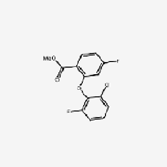 COC(=O)c1ccc(F)cc1Oc1c(F)cccc1Cl